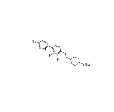 CCCCC1CCC(CCc2ccc(-c3ccc(CC)nn3)c(F)c2F)CC1